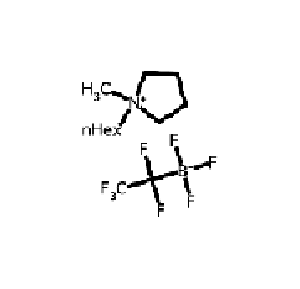 CCCCCC[N+]1(C)CCCC1.F[B-](F)(F)C(F)(F)C(F)(F)F